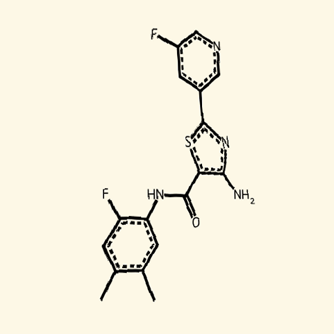 Cc1cc(F)c(NC(=O)c2sc(-c3cncc(F)c3)nc2N)cc1C